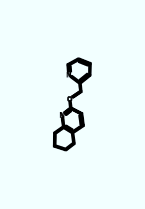 c1ccc(COc2ccc3c(n2)CCCC3)nc1